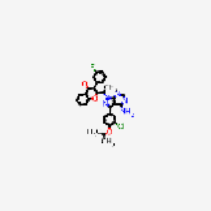 CC(C)Oc1ccc(-c2nn(C(C)c3oc4ccccc4c(=O)c3-c3cccc(F)c3)c3ncnc(N)c23)cc1Cl